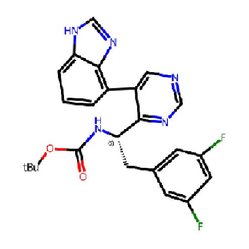 CC(C)(C)OC(=O)N[C@@H](Cc1cc(F)cc(F)c1)c1ncncc1-c1cccc2[nH]cnc12